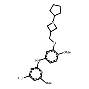 CNc1cc(C)nc(Nc2ccc(OC)c(OCC3CN(C4CCCC4)C3)c2)n1